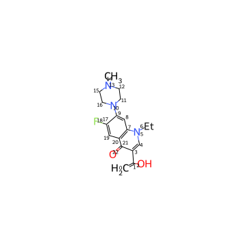 C=C(O)c1cn(CC)c2cc(N3CCN(C)CC3)c(F)cc2c1=O